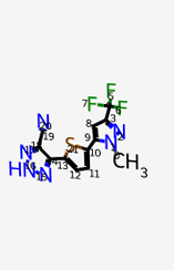 Cn1nc(C(F)(F)F)cc1-c1ccc(-c2n[nH]nc2C#N)s1